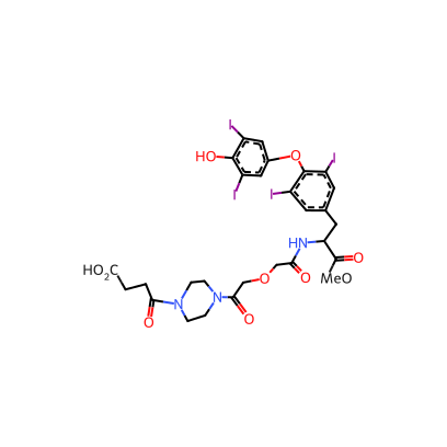 COC(=O)C(Cc1cc(I)c(Oc2cc(I)c(O)c(I)c2)c(I)c1)NC(=O)COCC(=O)N1CCN(C(=O)CCC(=O)O)CC1